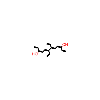 C=C\C(O)=C/C=C(C=C)/C(C=C)=C/C=C(/O)C=C